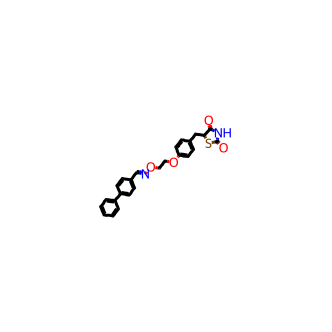 O=C1NC(=O)C(Cc2ccc(OCCON=Cc3ccc(-c4ccccc4)cc3)cc2)S1